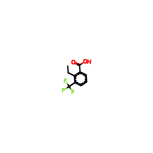 CCc1c(C(=O)O)cccc1C(F)(F)F